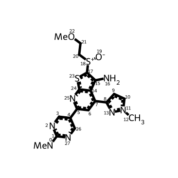 CNc1ncc(-c2cc(-c3ccn(C)n3)c3c(N)c([S+]([O-])CCOC)sc3n2)cn1